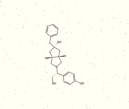 OC[C@@H](c1ccc(O)cc1)N1C[C@@H]2C[C@@](O)(Cc3ccccc3)C[C@@H]2C1